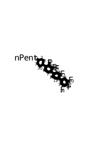 CCCCCC1CCC(c2ccc(-c3ccc(-c4cc(F)c(F)c(F)c4)c(F)c3F)c(F)c2F)CC1